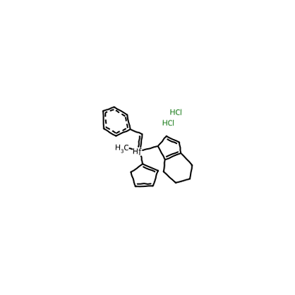 Cl.Cl.[CH3][Hf](=[CH]c1ccccc1)([C]1=CC=CC1)[CH]1C=CC2=C1CCCC2